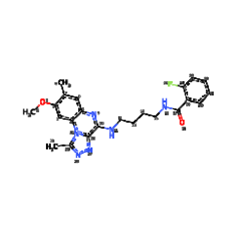 COc1cc2c(cc1C)nc(NCCCCNC(=O)c1ccccc1F)c1nnc(C)n12